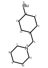 CCC(C)C1CCC(CN2CCCCC2)CC1